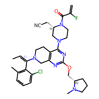 C=C(F)C(=O)N1CCN(c2nc(OC[C@@H]3CCCN3C)nc3c2CCN(/C(=C/C)c2c(C)cccc2Cl)C3)C[C@@H]1CC#N